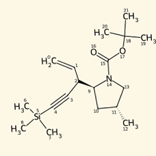 C=CC(C#C[Si](C)(C)C)[C@@H]1C[C@@H](C)CN1C(=O)OC(C)(C)C